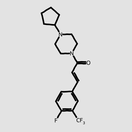 O=C(/C=C/c1ccc(F)c(C(F)(F)F)c1)N1CCN(C2CCCC2)CC1